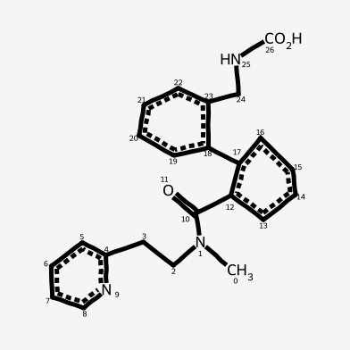 CN(CCc1ccccn1)C(=O)c1ccccc1-c1ccccc1CNC(=O)O